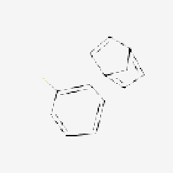 C1=CC2=CC=C1C2.Sc1ccccc1